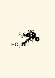 N#Cc1ccc2c(c1)c(C(CCNCCCNC(=O)O)c1cccc(OC(F)(F)F)c1)cn2C1CCCCC1